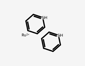 [Ru+2].c1cc[siH]cc1.c1cc[siH]cc1